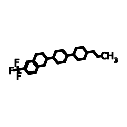 CCCC1CCC(C2CCC(C3CCc4cc(C(F)(F)F)ccc4C3)CC2)CC1